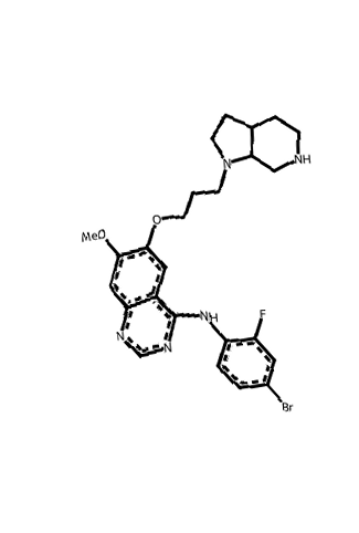 COc1cc2ncnc(Nc3ccc(Br)cc3F)c2cc1OCCCN1CCC2CCNCC21